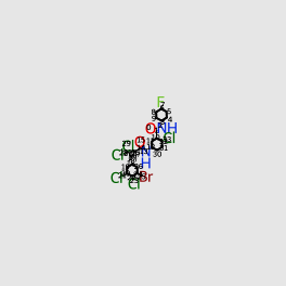 O=C(Nc1ccc(F)cc1)c1cc(NC(=O)[C@H]2[C@H](c3cc(Cl)c(Cl)c(Br)c3)C2(Cl)Cl)ccc1Cl